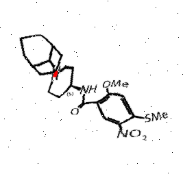 COc1cc(SC)c([N+](=O)[O-])cc1C(=O)N[C@H]1CCN(C2C3CCCC2CCC3)C1